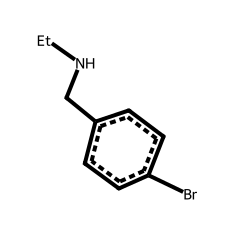 CCNCc1ccc(Br)cc1